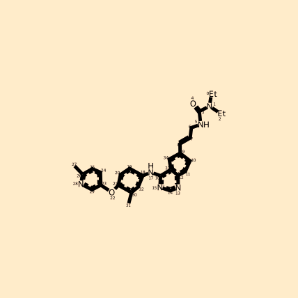 CCN(CC)C(=O)NCC=Cc1ccc2ncnc(Nc3ccc(Oc4ccc(C)nc4)c(C)c3)c2c1